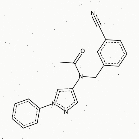 CC(=O)N(Cc1cccc(C#N)c1)c1cnn(-c2ccccc2)c1